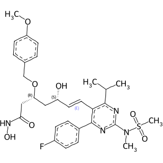 COc1ccc(CO[C@@H](CC(=O)NO)C[C@H](O)/C=C/c2c(-c3ccc(F)cc3)nc(N(C)S(C)(=O)=O)nc2C(C)C)cc1